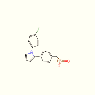 O=[SH](=O)Cc1ccc(-c2cccn2-c2ccc(F)cc2)cc1